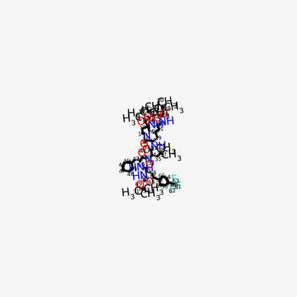 COC(=O)C1(NC(=O)OC(C)(C)C)CCN(C(=O)[C@@H](CCCCNC(=O)OC(C)(C)C)NC(=O)[C@@H](CC(C)C)NC(=O)[C@@H](Cc2ccccc2)NC(=O)[C@@H](CCc2ccc(C(F)(F)F)cc2)NC(=O)OC(C)(C)C)C1